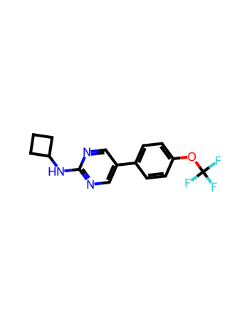 FC(F)(F)Oc1ccc(-c2cnc(NC3CCC3)nc2)cc1